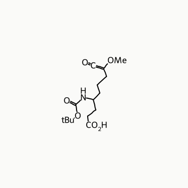 COC(=C=O)CCCC(CCC(=O)O)NC(=O)OC(C)(C)C